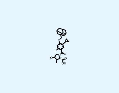 CC1C(=O)CN(C(=O)c2cc(C3CC3)c(OCC34CC5CC(CC(C5)C3)C4)cc2F)[C@@H]1C(=O)O